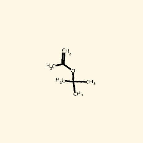 C=C(C)OC(C)(C)C